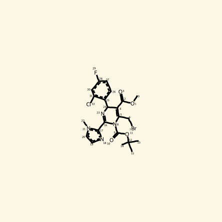 COC(=O)C1=C(CBr)N(C(=O)OC(C)(C)C)C(c2nccn2C)=NC1c1ccc(F)cc1Cl